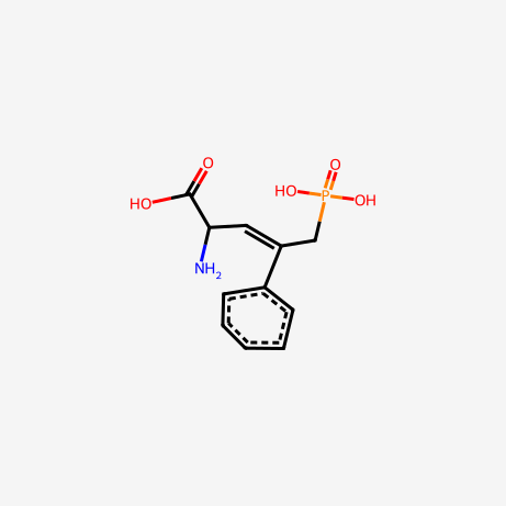 NC(/C=C(/CP(=O)(O)O)c1ccccc1)C(=O)O